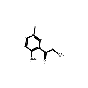 COc1ccc(Br)cc1C(=O)COC(C)=O